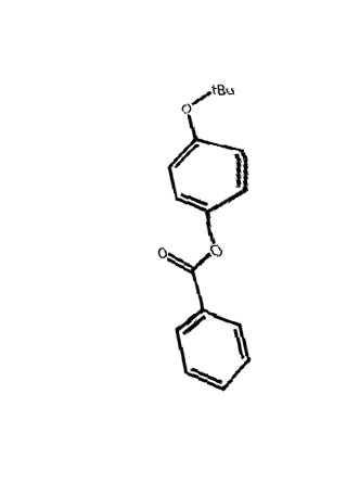 CC(C)(C)Oc1ccc(OC(=O)c2ccccc2)cc1